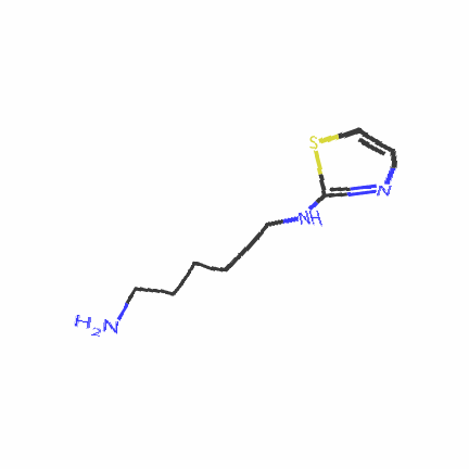 NCCCCCNc1nccs1